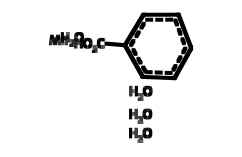 O.O.O.O.O=C(O)c1ccccc1.[Mn]